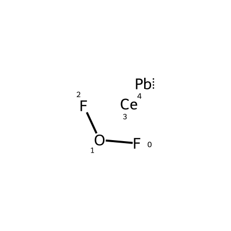 FOF.[Ce].[Pb]